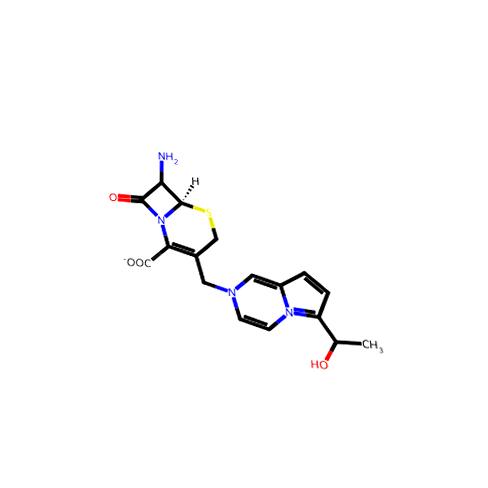 CC(O)c1ccc2cn(CC3=C(C(=O)[O-])N4C(=O)C(N)[C@H]4SC3)cc[n+]1-2